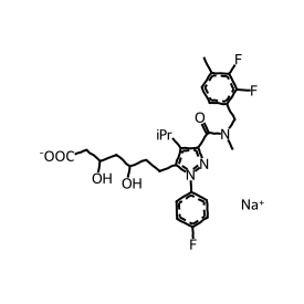 Cc1ccc(CN(C)C(=O)c2nn(-c3ccc(F)cc3)c(CCC(O)CC(O)CC(=O)[O-])c2C(C)C)c(F)c1F.[Na+]